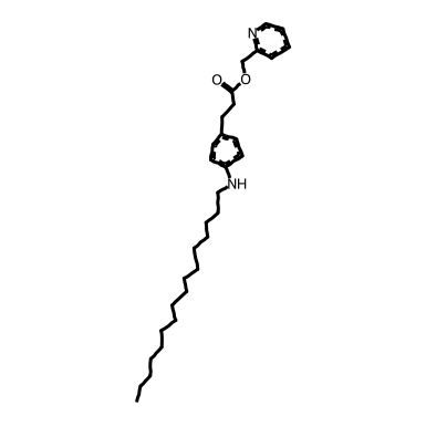 CCCCCCCCCCCCCCCCNc1ccc(CCC(=O)OCc2ccccn2)cc1